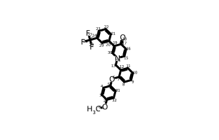 COc1ccc(Oc2ccccc2Cn2ccc(=O)c(-c3cccc(C(F)(F)F)c3)c2)cc1